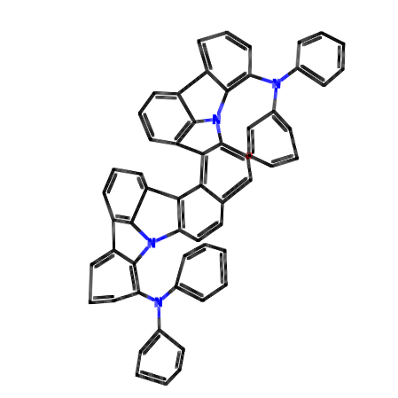 c1ccc(N(c2ccccc2)c2cccc3c4cccc5c6c7c(ccc6n(c23)c45)ccc2c7c3cccc4c5cccc(N(c6ccccc6)c6ccccc6)c5n2c43)cc1